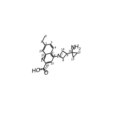 CCc1ccc2c(N3CC(C4(N)CC4)C3)cc(C(=O)O)nc2c1